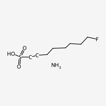 N.O=S(=O)(O)CCCCCCCCF